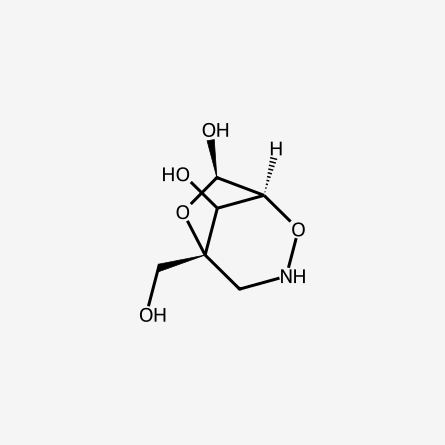 OC[C@]12CNO[C@@H](C1O)[C@H](O)O2